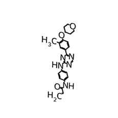 C=CC(=O)Nc1ccc(Nc2ncnc(-c3ccc(OC4CCOCC4)c(C)c3)n2)cc1